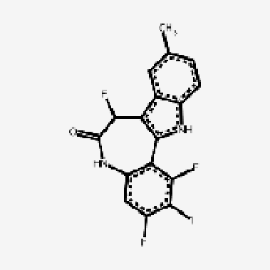 Cc1ccc2[nH]c3c(c2c1)C(F)C(=O)Nc1cc(F)c(I)c(F)c1-3